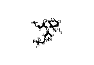 C=C=CC(=O)N(c1cnn(CC(F)(F)F)c1)C1(N)CCOC1